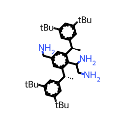 C[C@H](c1cc(C(C)(C)C)cc(C(C)(C)C)c1)c1cc(CN)cc([C@H](C)c2cc(C(C)(C)C)cc(C(C)(C)C)c2)c1C(N)CN